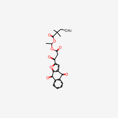 CC(=O)OCC(C)(C)C(=O)OC(C)OC(=O)CC(=O)c1cc2c(o1)C(=O)c1ccccc1C2=O